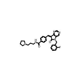 O=C(NCCCN1CCCC1)c1ccc(C=C2C(=O)N(Cc3ccccc3F)c3cncnc32)cc1